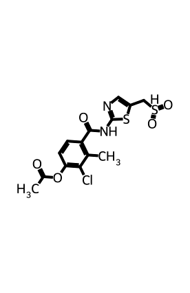 CC(=O)Oc1ccc(C(=O)Nc2ncc(C[SH](=O)=O)s2)c(C)c1Cl